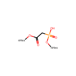 CCCCCCOC(=O)CP(=O)(O)OCCCCCC